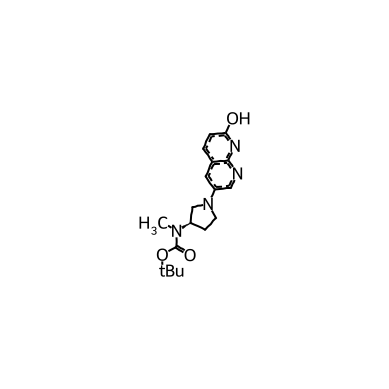 CN(C(=O)OC(C)(C)C)[C@@H]1CCN(c2cnc3nc(O)ccc3c2)C1